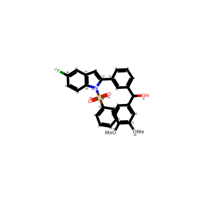 COc1ccc(C(O)c2cccc(-c3cc4cc(F)ccc4n3S(=O)(=O)c3ccccc3)c2)cc1OC